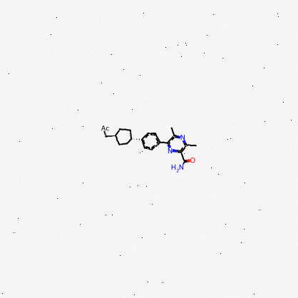 CC(=O)C[C@H]1CC[C@H](c2ccc(-c3nc(C(N)=O)c(C)nc3C)cc2)CC1